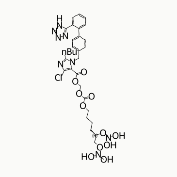 CCCCc1nc(Cl)c(C(=O)OCOC(=O)OCCCC[C@H](CON(O)O)ON(O)O)n1Cc1ccc(-c2ccccc2-c2nnn[nH]2)cc1